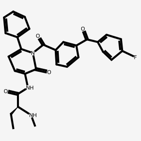 CC[C@H](NC)C(=O)Nc1ccc(-c2ccccc2)n(C(=O)c2cccc(C(=O)c3ccc(F)cc3)c2)c1=O